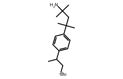 CC(CC(C)(C)C)c1ccc(C(C)(C)CC(C)(C)N)cc1